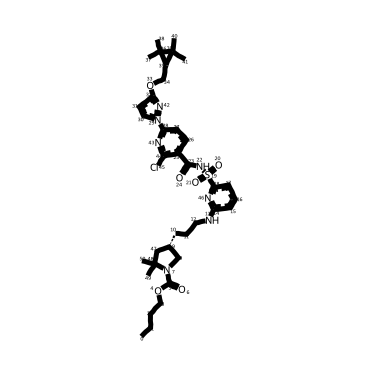 CCCCOC(=O)N1C[C@@H](CCCNc2cccc(S(=O)(=O)NC(=O)c3ccc(-n4ccc(OCC5C(C)(C)C5(C)C)n4)nc3Cl)n2)CC1(C)C